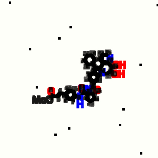 COC(=O)/C=C/c1ccc(NC(=O)C2(NC(=O)c3ccc4c(C5CCCCC5)c5n(c4c3)C[C@@H](O)[C@@H](O)c3ncccc3-5)CCCC2)cc1